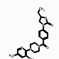 CCC1CN(c2ccc(C(=O)N3CCN(c4ncc(C)cc4C)CC3)cc2)C(=O)O1